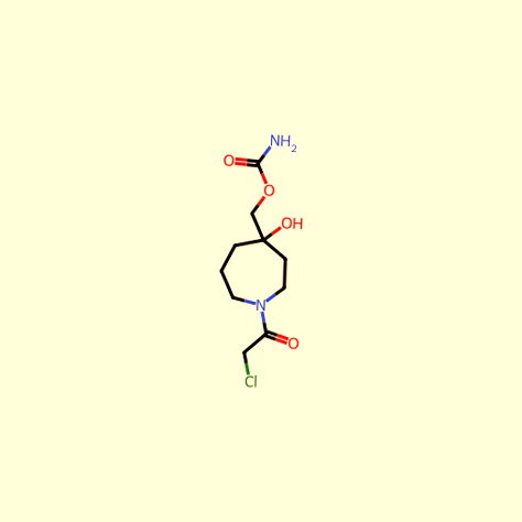 NC(=O)OCC1(O)CCCN(C(=O)CCl)CC1